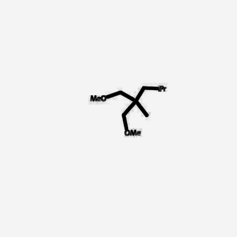 COCC(C)(COC)CC(C)C